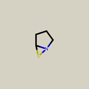 C1CC2SN2C1